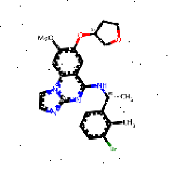 COc1cc2c(cc1O[C@H]1CCOC1)c(N[C@H](C)c1cccc(Br)c1C)nc1nccn12